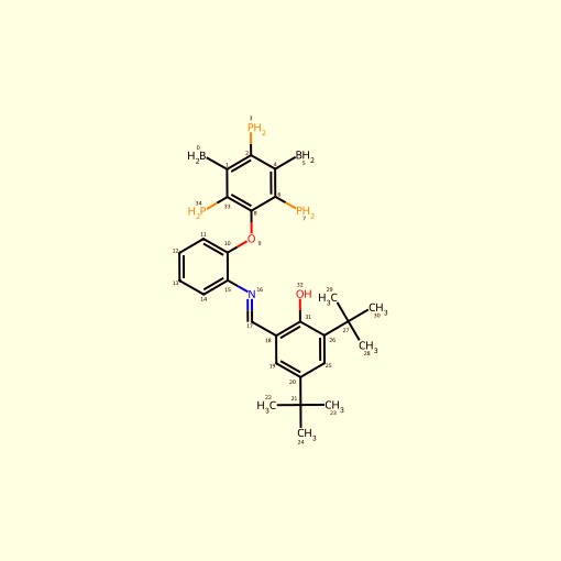 Bc1c(P)c(B)c(P)c(Oc2ccccc2/N=C/c2cc(C(C)(C)C)cc(C(C)(C)C)c2O)c1P